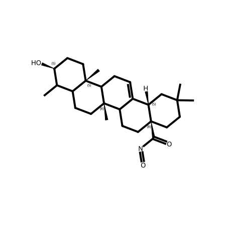 CC1C2CC[C@@]3(C)C4CC[C@@]5(C(=O)N=O)CCC(C)(C)C[C@H]5C4=CCC3[C@@]2(C)CC[C@@H]1O